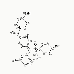 O=C(c1ccc(C(c2cc(F)ccc2F)S(=O)(=O)c2ccc(F)cc2)cn1)N1CCC(O)CC1